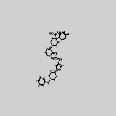 O=C(O)C(O)C1(c2ccc(Cl)cc2)CCN(c2cccn3nc(Nc4cnn(C5CCN(Cc6ccccc6)CC5)c4)nc23)CC1